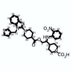 O=C(OCC(Nc1ccccc1[N+](=O)[O-])C1CCN(C(=O)O)CC1)C1CCN(c2nc3ccccc3n2Cc2ccsc2)CC1